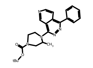 CC1CN(C(=O)OC(C)(C)C)CCN1c1nnc(-c2ccccc2)c2ccncc12